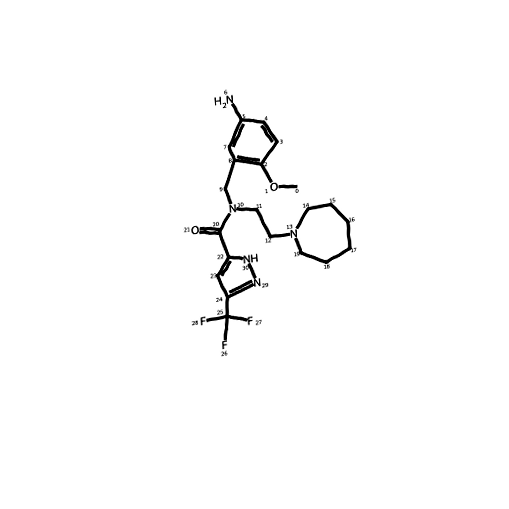 COc1ccc(N)cc1CN(CCN1CCCCCC1)C(=O)c1cc(C(F)(F)F)n[nH]1